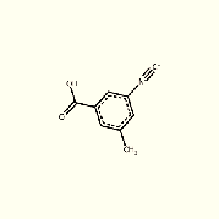 [C-]#[N+]c1cc(C)cc(C(=O)O)c1